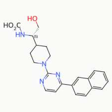 O=C(O)N[C@H](CO)C1CCN(c2nccc(-c3ccc4ccccc4c3)n2)CC1